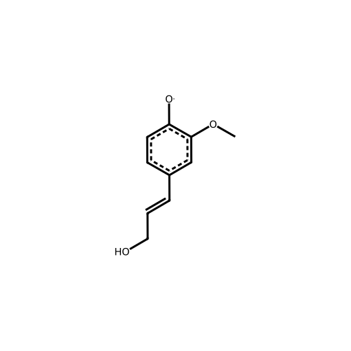 COc1cc(/C=C/CO)ccc1[O]